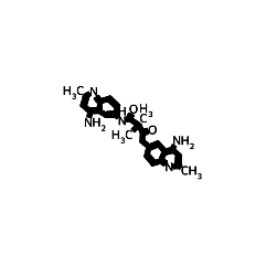 Cc1cc(N)c2cc(CC(=O)C(C)(C)C(=O)Nc3ccc4nc(C)cc(N)c4c3)ccc2n1